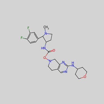 CN1CCC(NC(=O)ON2CCc3cnc(NC4CCOCC4)nc3C2)C1c1ccc(F)c(F)c1